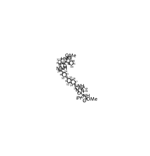 COC(=O)NC(C(=O)N1CCC[C@H]1c1ncc(-c2ccc3cc(-c4ccc(-c5cnc([C@@H]6CCCN6C(=O)[C@H](NC(=O)OC)c6ccccc6)[nH]5)cc4)ccc3c2)[nH]1)C(C)C